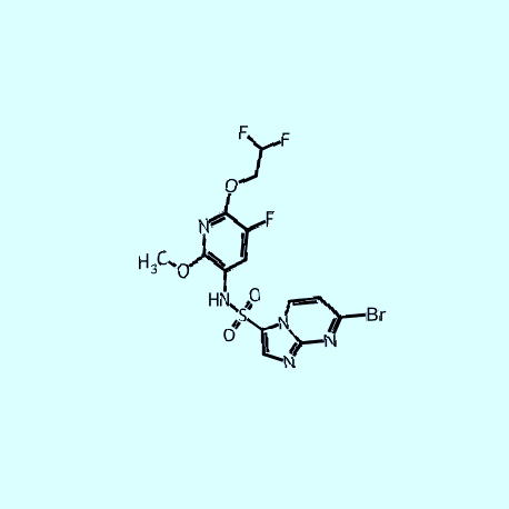 COc1nc(OCC(F)F)c(F)cc1NS(=O)(=O)c1cnc2nc(Br)ccn12